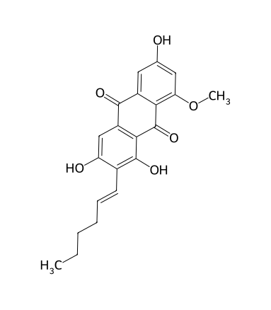 CCCC/C=C/c1c(O)cc2c(c1O)C(=O)c1c(OC)cc(O)cc1C2=O